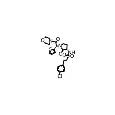 O=C([C@H](c1cccs1)N1CC[C@H](NS(=O)(=O)CCc2ccc(Cl)cc2)C1=O)N1CCOCC1